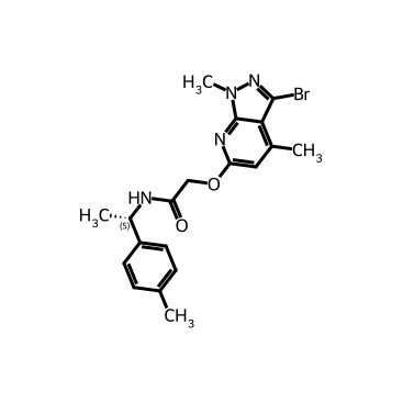 Cc1ccc([C@H](C)NC(=O)COc2cc(C)c3c(Br)nn(C)c3n2)cc1